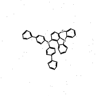 c1ccc(-c2ccc(N(c3ccc(-c4ccccc4)cc3)c3ccc4c5c3c3ccccc3n5-c3ccccc3S4)cc2)cc1